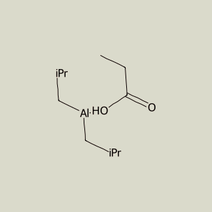 CC(C)[CH2][Al][CH2]C(C)C.CCC(=O)O